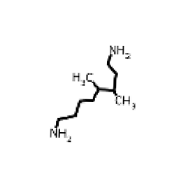 CC(CCN)C(C)CCCCN